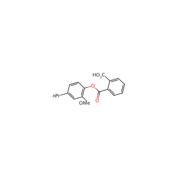 CCCc1ccc(OC(=O)c2ccccc2C(=O)O)c(OC)c1